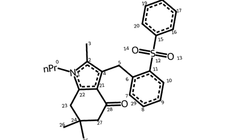 CCCn1c(C)c(Cc2ccccc2S(=O)(=O)c2ccccc2)c2c1CC(C)(C)CC2=O